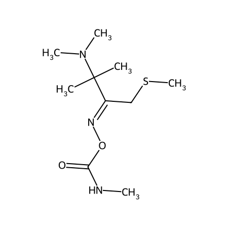 CNC(=O)ON=C(CSC)C(C)(C)N(C)C